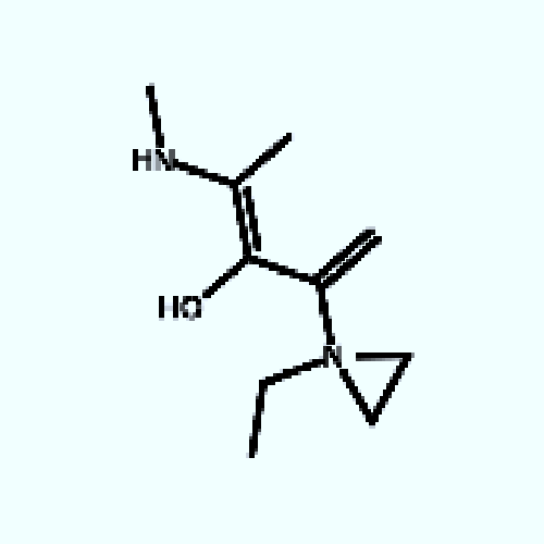 C=C(/C(O)=C(\C)NC)[N+]1(CC)CC1